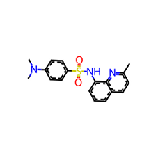 Cc1ccc2cccc(NS(=O)(=O)c3ccc(N(C)C)cc3)c2n1